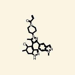 C=CC(=O)N1CCC(n2nc(-c3ccc4c(cnn4C)c3)c(C3=C4C=NNC4CC(C)C3Cl)c2C)CC1